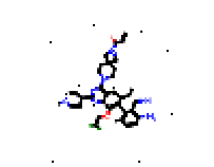 C=CC(=O)N1CC2(CCN(c3nc(C4CCN(C)CC4)nc4c(OCC(F)F)c(-c5c(C)ccc(N)c5C=N)c(CC)cc34)CC2)C1